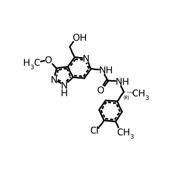 COc1n[nH]c2cc(NC(=O)N[C@H](C)c3ccc(Cl)c(C)c3)nc(CO)c12